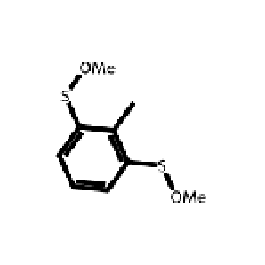 COSc1cccc(SOC)c1C